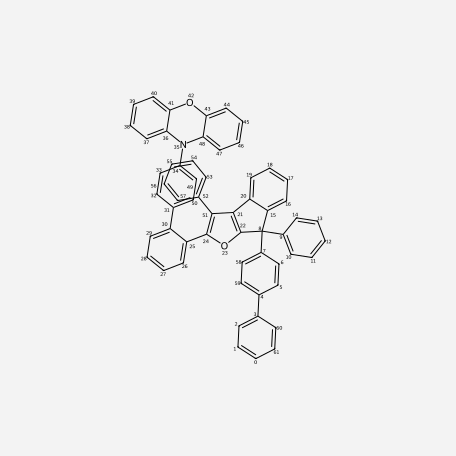 c1ccc(-c2ccc(C3(c4ccccc4)c4ccccc4-c4c3oc(-c3ccccc3-c3ccc(N5c6ccccc6Oc6ccccc65)cc3)c4-c3ccccc3)cc2)cc1